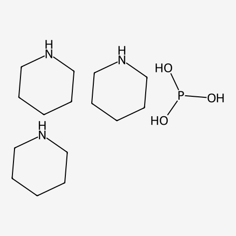 C1CCNCC1.C1CCNCC1.C1CCNCC1.OP(O)O